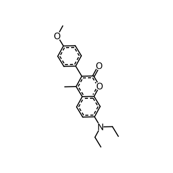 CCN(CC)c1ccc2c(C)c(-c3ccc(OC)cc3)c(=O)oc2c1